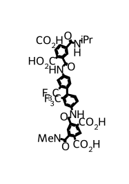 CNC(=O)c1cc(C(=O)Nc2ccc(-c3ccc(NC(=O)c4cc(C(=O)NC(C)C)c(C(=O)O)cc4C(=O)O)cc3C(F)(F)F)c(C(F)(F)F)c2)c(C(=O)O)cc1C(=O)O